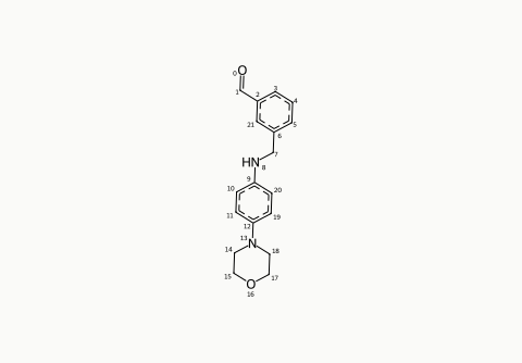 O=Cc1cccc(CNc2ccc(N3CCOCC3)cc2)c1